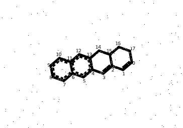 C1=CC2=Cc3cc4ccccc4cc3CC2CC1